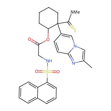 CNC(=S)C1(c2ccc3nc(C)cn3c2)CCCCC1OC(=O)CNS(=O)(=O)c1cccc2ccccc12